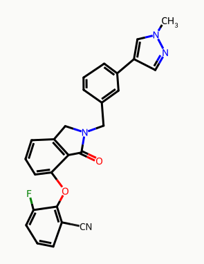 Cn1cc(-c2cccc(CN3Cc4cccc(Oc5c(F)cccc5C#N)c4C3=O)c2)cn1